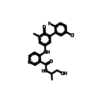 CC(CO)NC(=O)c1cnccc1Nc1cc(-c2cc(Cl)ccc2F)c(=O)n(C)c1